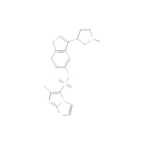 CN1CCC(C2=CCc3ccc(NS(=O)(=O)c4c(Cl)nc5sccn45)cc32)C1